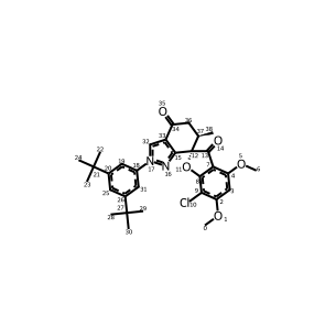 COc1cc(OC)c2c(c1Cl)O[C@]1(C2=O)c2nn(-c3cc(C(C)(C)C)cc(C(C)(C)C)c3)cc2C(=O)C[C@H]1C